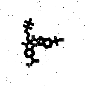 CN1c2ccc(C(N)=O)cc2NC1(CCO[Si](C)(C)C(C)(C)C)Nc1nc2ccc(C(C)(C)O)cc2o1